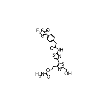 NC(=O)OCCc1nc(CO)sc1-c1csc(NC(=O)Cc2ccc(S(=O)(=O)C(F)(F)F)cc2)n1